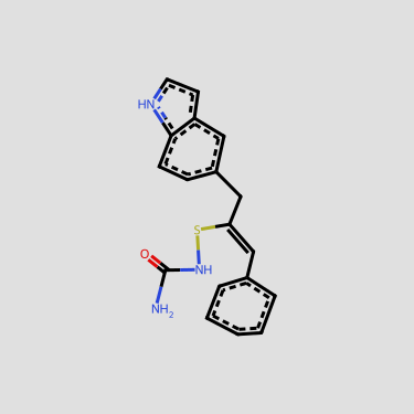 NC(=O)NSC(=Cc1ccccc1)Cc1ccc2[nH]ccc2c1